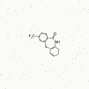 O=C1NC2=C(C=CCC2)Sc2cc(C(F)(F)F)ccc21